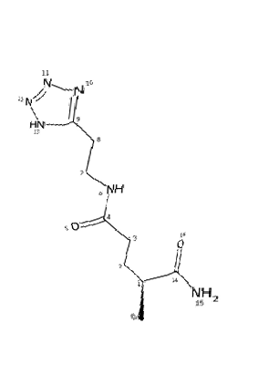 C[C@@H](C[CH]C(=O)NCCc1nnn[nH]1)C(N)=O